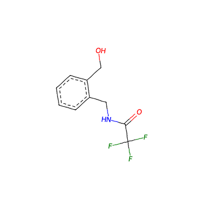 O=C(NCc1ccccc1CO)C(F)(F)F